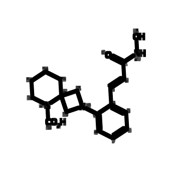 O=C(C=Cc1ccccc1N1CC2(CCCCN2C(=O)O)C1)NO